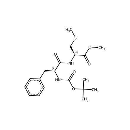 COC(=O)[C@H](CSC)NC(=O)[C@H](Cc1ccccc1)NC(=O)OC(C)(C)C